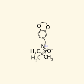 CC(C)(C)[S@+]([O-])/N=C/c1ccc2c(c1)OCCO2